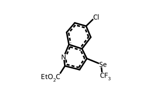 CCOC(=O)c1cc([Se]C(F)(F)F)c2cc(Cl)ccc2n1